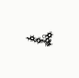 C=Cc1cccc(CN2CCC(CNc3cc(-c4ccccc4Cl)nc4c(C)cnn34)CC2)c1